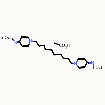 CC(=O)O.CCCCCCCCN=c1ccn(CCCCCCCCCCn2ccc(=NCCCCCCCC)cc2)cc1